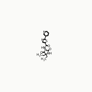 CCC1(CC)NC(=O)N(NC(=O)c2cnc(-c3cccnc3)s2)C1=O